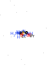 CCNS(=O)(=O)c1cc(NC(=N)N)ccc1-c1cnc([C@H]2CC[C@H](NC(=O)OC(C)C)CC2)s1